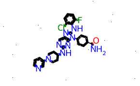 NC(=O)[C@H]1CC[C@@H](n2c(Nc3c(F)cccc3Cl)nc3cnc(NC4CCN(c5cccnc5)CC4)nc32)CC1